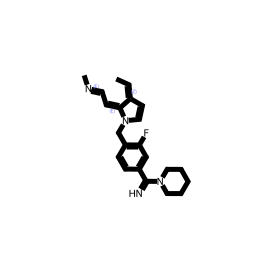 C/C=c1/ccn(Cc2ccc(C(=N)N3CCCCC3)cc2F)/c1=C/C=N/C